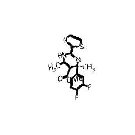 COC(=O)C1=C(C)NC(c2nccs2)=N[C@@]1(C)c1ccc(F)c(F)c1